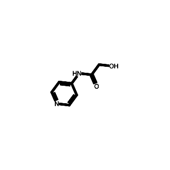 O=C(CO)Nc1ccncc1